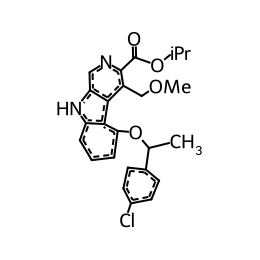 COCc1c(C(=O)OC(C)C)ncc2[nH]c3cccc(OC(C)c4ccc(Cl)cc4)c3c12